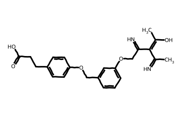 CC(=N)/C(C(=N)COc1cccc(COc2ccc(CCC(=O)O)cc2)c1)=C(/C)O